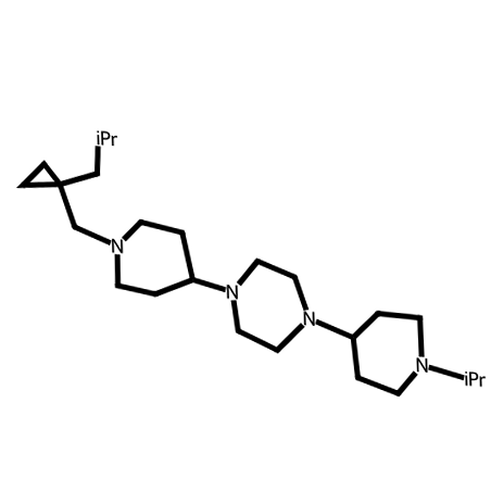 CC(C)CC1(CN2CCC(N3CCN(C4CCN(C(C)C)CC4)CC3)CC2)CC1